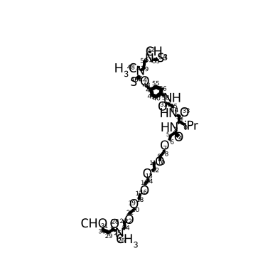 CC(C)C(NC(=O)CCOCCOCCOCCOCCOCCOCCN(C)C(=O)/C=C\C=O)C(=O)NCC(=O)Nc1ccc(COC(=S)N(C)CCN(C)C=S)cc1